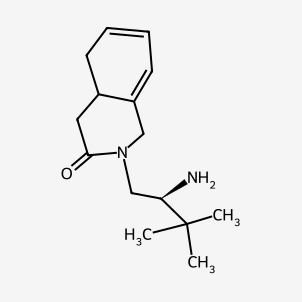 CC(C)(C)[C@H](N)CN1CC2=CC=CCC2CC1=O